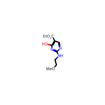 CCOC(=O)c1cnc(NCCOC)nc1O